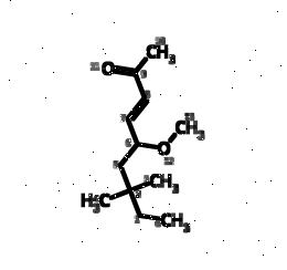 CCC(C)(C)CC(C=CC(C)=O)OC